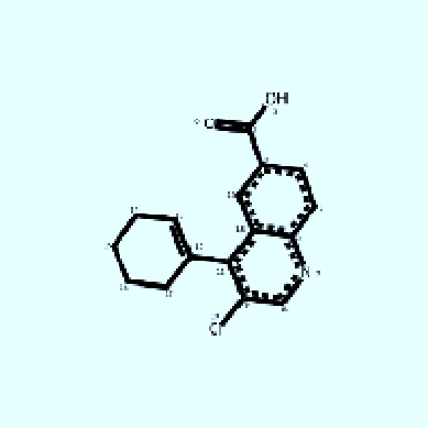 O=C(O)c1ccc2ncc(Cl)c(C3=CCCCC3)c2c1